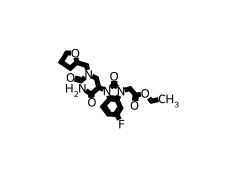 CCOC(=O)Cn1c(=O)n(C(CN(C=O)CC2CCCO2)C(N)=O)c2ccc(F)cc21